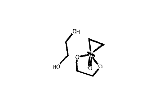 OCCO.[O]=[Ti]123([CH2][CH2]1)([CH2][CH2]2)[O]CC[O]3